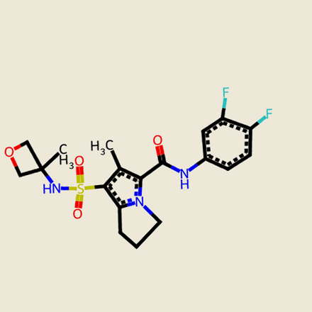 Cc1c(S(=O)(=O)NC2(C)COC2)c2n(c1C(=O)Nc1ccc(F)c(F)c1)CCC2